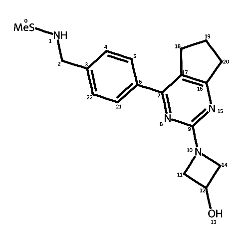 CSNCc1ccc(-c2nc(N3CC(O)C3)nc3c2CCC3)cc1